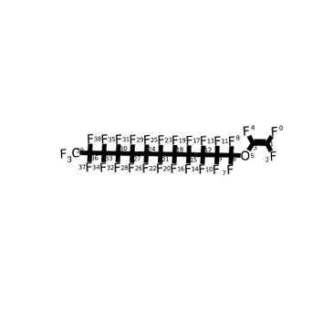 FC(F)=C(F)OC(F)(F)C(F)(F)C(F)(F)C(F)(F)C(F)(F)C(F)(F)C(F)(F)C(F)(F)C(F)(F)C(F)(F)C(F)(F)C(F)(F)F